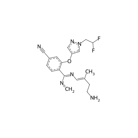 C=N/C(=N\C=C(/C)CCN)c1ccc(C#N)cc1Oc1cnn(CC(F)F)c1